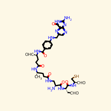 C[C@@H](CCC(=O)NC[C@H](N)C(=O)N[C@@H](CC=O)C(=O)N[C@H](C=O)CS)NC(=O)CC[C@@H](C=O)NC(=O)c1ccc(NCc2cnc3nc(N)[nH]c(=O)c3n2)cc1